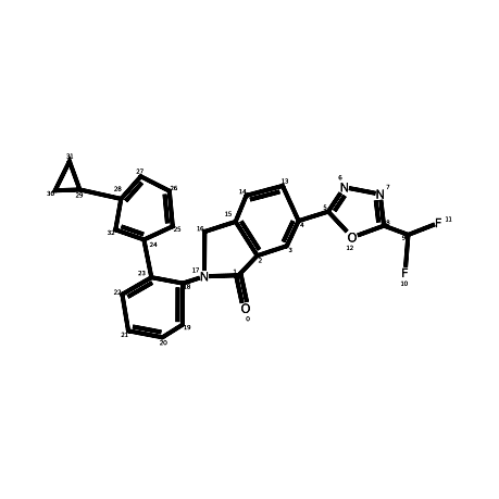 O=C1c2cc(-c3nnc(C(F)F)o3)ccc2CN1c1ccccc1-c1cccc(C2CC2)c1